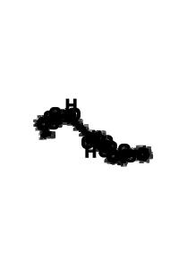 CCC(C)(OC(C)S(=O)(=O)OC1CCCC(C(C)C)C1)[PH](=O)CCCCCC[PH](=O)C(C)(CC)OC(C)S(=O)(=O)OC1CCCC(C(C)C(=O)OCc2ccccc2)C1